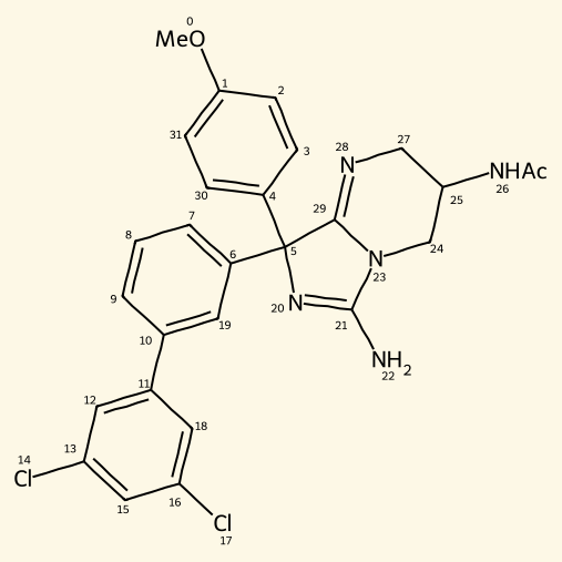 COc1ccc(C2(c3cccc(-c4cc(Cl)cc(Cl)c4)c3)N=C(N)N3CC(NC(C)=O)CN=C32)cc1